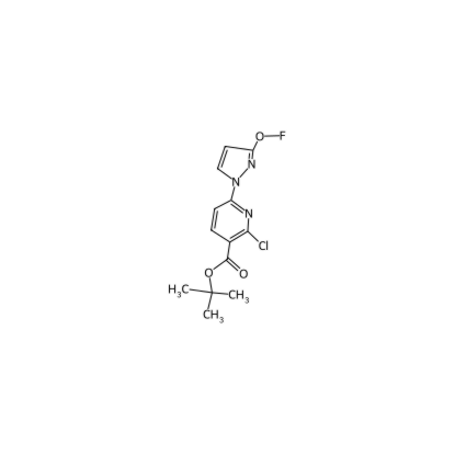 CC(C)(C)OC(=O)c1ccc(-n2ccc(OF)n2)nc1Cl